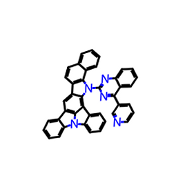 c1cncc(-c2nc(-n3c4c5ccccc5ccc4c4cc5c6ccccc6n6c7ccccc7c(c43)c56)nc3ccccc23)c1